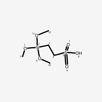 CO[Si](CCS(=O)(=O)O)(OC)OC